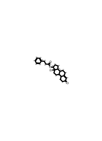 CCC12CCC3C4CCC(=O)C=C4CCC3C1CCC2OC(=O)CCc1ccccc1